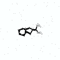 O=[N+]([O-])C(=C1C=c2ccccc2=C1)[N+](=O)[O-]